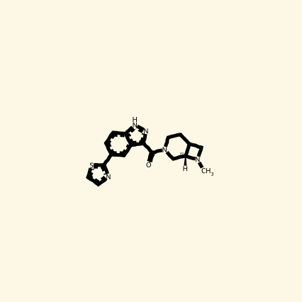 CN1CC2CCN(C(=O)c3n[nH]c4ccc(-c5nccs5)cc34)C[C@H]21